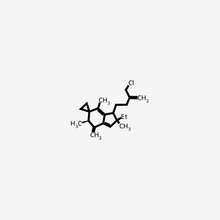 C=C(CCl)CCC1C2=C(C)C3(CC3)[C@H](C)C(=C)C2=CC1(C)CC